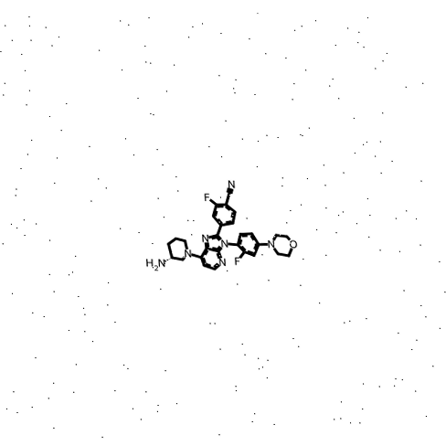 N#Cc1ccc(-c2nc3c(N4CCC[C@@H](N)C4)ccnc3n2-c2ccc(N3CCOCC3)cc2F)cc1F